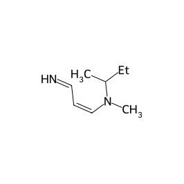 CCC(C)N(C)/C=C\C=N